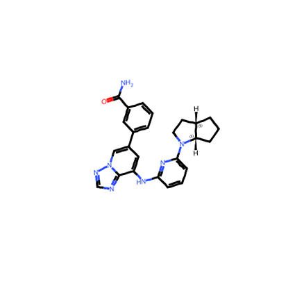 NC(=O)c1cccc(-c2cc(Nc3cccc(N4CC[C@@H]5CCC[C@@H]54)n3)c3ncnn3c2)c1